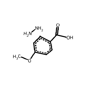 COc1ccc(C(=O)O)cc1.NN